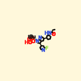 C=CC(=O)Nc1cccc(-c2cnc3c(c2)c(-c2ccnc(F)c2)cn3COP(=O)(O)OC(C)(C)C)c1